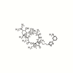 CC[C@H]1OC(=O)C(C)C(=O)[C@H](C)[C@@H](O[C@@H]2OC(C)CC(N(C)C)C2O)[C@](C)(OC)C[C@@H](C)C(=O)N[C@H](C)[C@H]2N(CCCCn3cc(-c4cccc(N)c4)nn3)C(=O)O[C@]12C